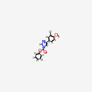 COc1ccc(-c2cn(C(=O)Oc3ccccc3)cn2)cc1C